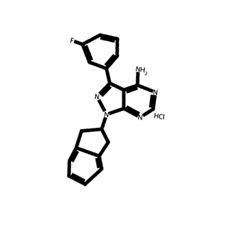 Cl.Nc1ncnc2c1c(-c1cccc(F)c1)nn2C1Cc2ccccc2C1